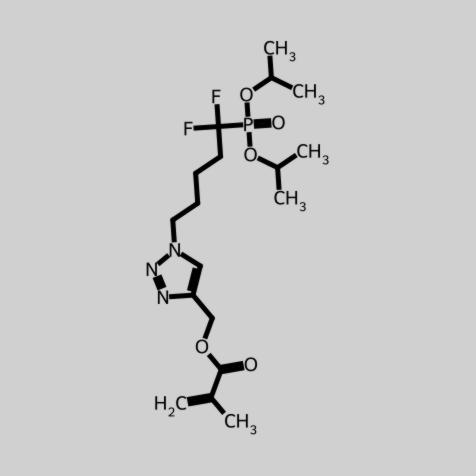 C=C(C)C(=O)OCc1cn(CCCCC(F)(F)P(=O)(OC(C)C)OC(C)C)nn1